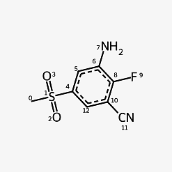 CS(=O)(=O)c1cc(N)c(F)c(C#N)c1